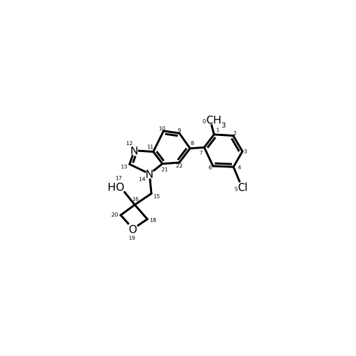 Cc1ccc(Cl)cc1-c1ccc2ncn(CC3(O)COC3)c2c1